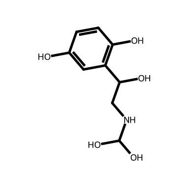 Oc1ccc(O)c(C(O)CNC(O)O)c1